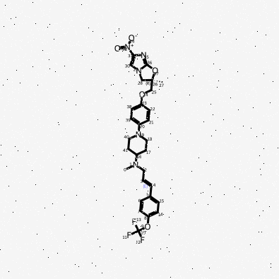 CN(C/C=C/c1ccc(OC(F)(F)F)cc1)C1CCN(c2ccc(OC[C@@]3(C)Cn4cc([N+](=O)[O-])nc4O3)cc2)CC1